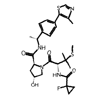 CSC(C)(C)[C@H](NC(=O)C1(F)CC1)C(=O)N1C[C@H](O)C[C@H]1C(=O)N[C@H](C)c1ccc(-c2scnc2C)cc1